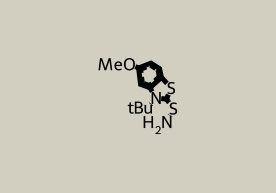 COc1ccc2c(c1)N(C(C)(C)C)C(SN)S2